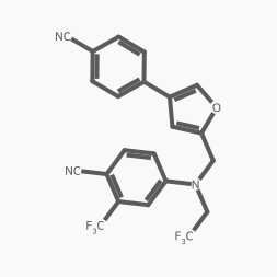 N#Cc1ccc(-c2coc(CN(CC(F)(F)F)c3ccc(C#N)c(C(F)(F)F)c3)c2)cc1